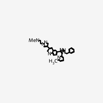 CNCCn1cc(-c2cnc3ccc(-c4nnn(Cc5ccccc5)c4-c4cccc(C)n4)cc3c2)cn1